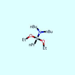 CCCCN(CCCC)[Si](CCC)(OCC)OCC